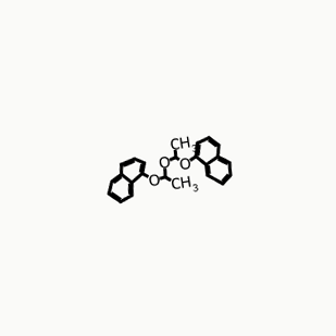 CC(Oc1cccc2ccccc12)OC(C)Oc1cccc2ccccc12